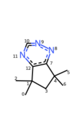 CC1(C)CC(C)(C)c2nncnc21